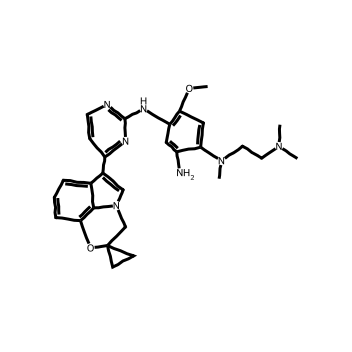 COc1cc(N(C)CCN(C)C)c(N)cc1Nc1nccc(-c2cn3c4c(cccc24)OC2(CC2)C3)n1